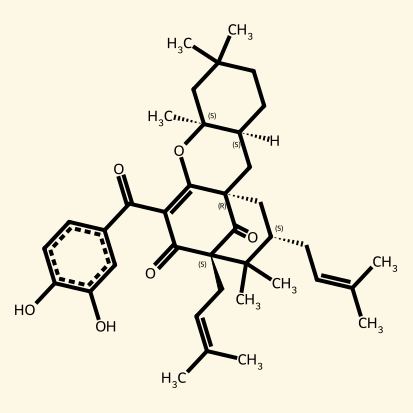 CC(C)=CC[C@H]1C[C@@]23C[C@@H]4CCC(C)(C)C[C@]4(C)OC2=C(C(=O)c2ccc(O)c(O)c2)C(=O)[C@](CC=C(C)C)(C3=O)C1(C)C